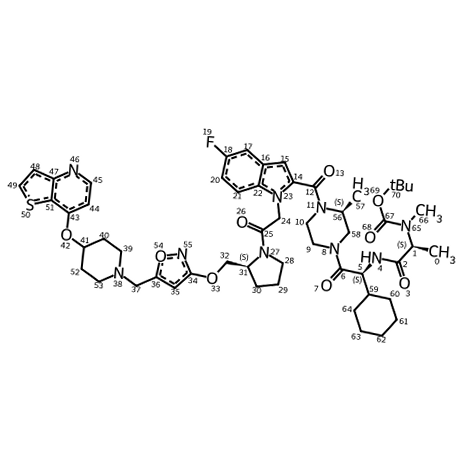 C[C@@H](C(=O)N[C@H](C(=O)N1CCN(C(=O)c2cc3cc(F)ccc3n2CC(=O)N2CCC[C@H]2COc2cc(CN3CCC(Oc4ccnc5ccsc45)CC3)on2)[C@@H](C)C1)C1CCCCC1)N(C)C(=O)OC(C)(C)C